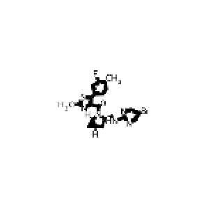 Cc1nc(C(=O)N2[C@H](CNc3ncc(Br)cn3)C[C@@H]3C[C@@H]32)c(-c2ccc(C)c(F)c2)s1